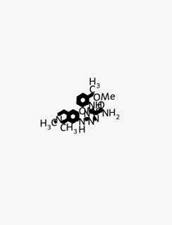 COc1cc2c(cc1Nc1nnc(C(N)=O)c(Nc3ccccc3C(C)OC)n1)C(C)N(C)CC2